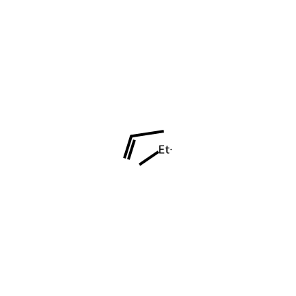 C=CC.C[CH]C